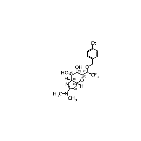 CCc1ccc(CO[C@H]([C@H]2O[C@@H]3SC(N(C)C)=N[C@@H]3[C@@H](O)[C@@H]2O)C(F)(F)F)cc1